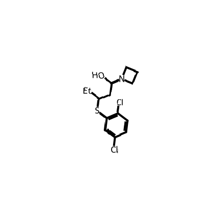 CCC(CC(O)N1CCC1)Sc1cc(Cl)ccc1Cl